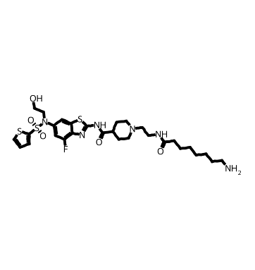 NCCCCCCCC(=O)NCCN1CCC(C(=O)Nc2nc3c(F)cc(N(CCO)S(=O)(=O)c4cccs4)cc3s2)CC1